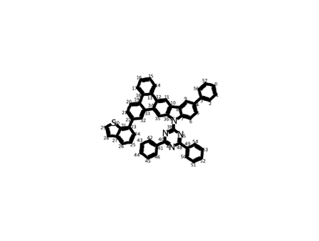 c1ccc(-c2ccc3c(c2)c2cc4c5ccccc5c5ccc(-c6cccc7ccsc67)cc5c4cc2n3-c2nc(-c3ccccc3)nc(-c3ccccc3)n2)cc1